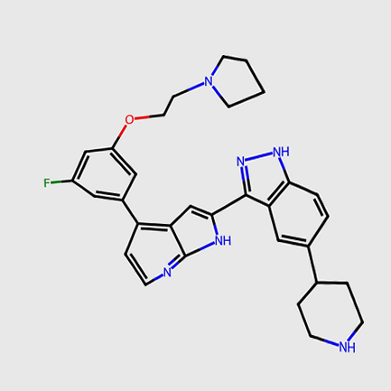 Fc1cc(OCCN2CCCC2)cc(-c2ccnc3[nH]c(-c4n[nH]c5ccc(C6CCNCC6)cc45)cc23)c1